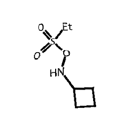 CCS(=O)(=O)ONC1CCC1